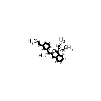 C/C=C/c1cccc(C(C)CCc2ccccc2C(=O)N(CC)CC)c1